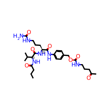 CCCC(=O)N[C@H](C(=O)N[C@@H](CCCNC(N)=O)C(=O)Nc1ccc(COC(=O)NCCCC(C)=O)cc1)C(C)C